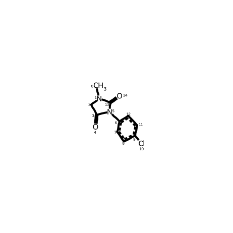 CN1CC(=O)N(c2ccc(Cl)cc2)C1=O